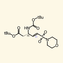 CC(C)(C)OC(=O)C[C@@H](/C=C/S(=O)(=O)N1CCOCC1)NC(=O)OC(C)(C)C